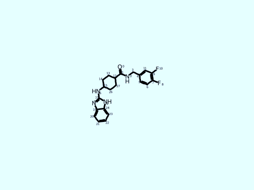 O=C(NCc1ccc(F)c(F)c1)C1CCC(Nc2nc3ccccc3[nH]2)CC1